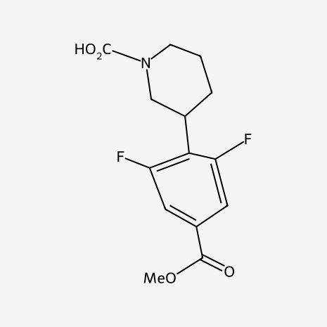 COC(=O)c1cc(F)c(C2CCCN(C(=O)O)C2)c(F)c1